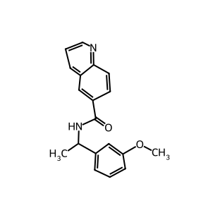 COc1cccc(C(C)NC(=O)c2ccc3ncccc3c2)c1